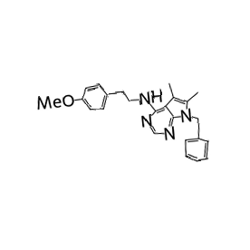 COc1ccc(CCNc2ncnc3c2c(C)c(C)n3Cc2ccccc2)cc1